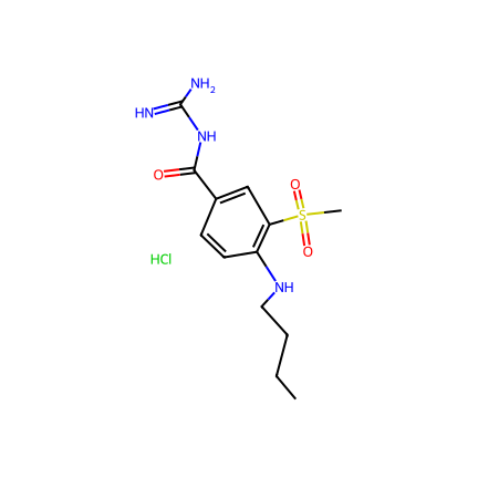 CCCCNc1ccc(C(=O)NC(=N)N)cc1S(C)(=O)=O.Cl